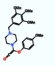 COc1ccc(OC(=C=O)N2CCN(Cc3cc(OC)c(OC)c(OC)c3)CC2)cc1